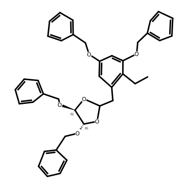 CCc1c(CC2O[C@H](OCc3ccccc3)[C@@H](OCc3ccccc3)O2)cc(OCc2ccccc2)cc1OCc1ccccc1